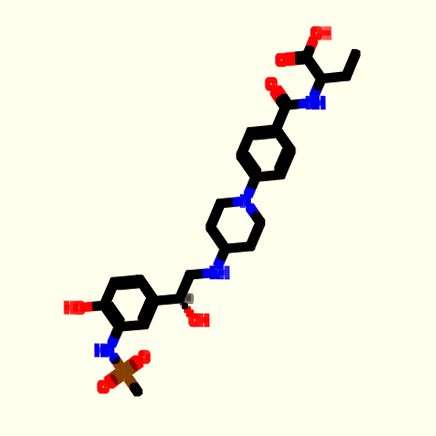 CCC(NC(=O)c1ccc(N2CCC(NC[C@H](O)c3ccc(O)c(NS(C)(=O)=O)c3)CC2)cc1)C(=O)O